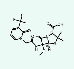 COC1(NC(=O)Cn2cccc(C(F)(F)F)c2=O)C(=O)N2[C@@H](C(=O)O)C(C)(C)S[C@@H]21